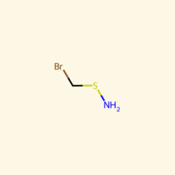 NSCBr